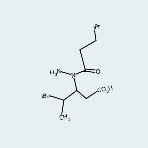 CCC(C)C(C)C(CC(=O)O)N(N)C(=O)CCC(C)C